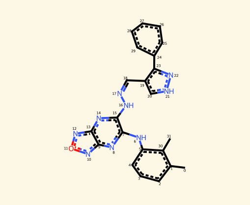 Cc1cccc(Nc2nc3nonc3nc2N/N=C\c2c[nH]nc2-c2ccccc2)c1C